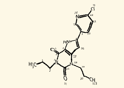 CCCn1c(=O)c2[nH]c(-c3ccc(Cl)nc3)cc2n(CCC)c1=O